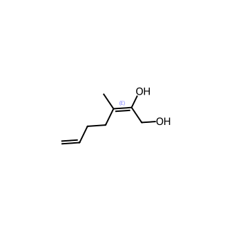 C=CCC/C(C)=C(/O)CO